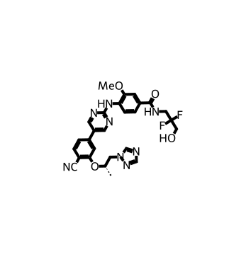 COc1cc(C(=O)NCC(F)(F)CO)ccc1Nc1ncc(-c2ccc(C#N)c(O[C@@H](C)Cn3cncn3)c2)cn1